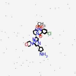 CS(=O)(=O)Nc1ccc(Cl)cc1C(=O)N1CCCC[C@H]1c1cc2nc(C3CC[C@@H](N)C3)cc(N3CCOCC3)n2n1